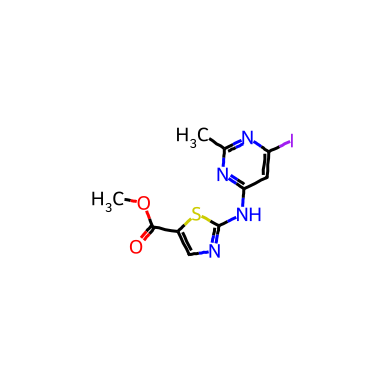 COC(=O)c1cnc(Nc2cc(I)nc(C)n2)s1